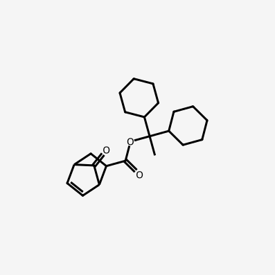 CC(OC(=O)C1CC2C=CC1C2=O)(C1CCCCC1)C1CCCCC1